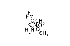 CCOC(=O)N(C(N)=S)C(C)OC1CC1(F)F